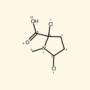 CN1C(Cl)CCC1(Cl)C(=O)O